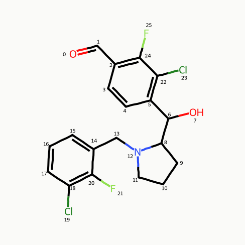 O=Cc1ccc(C(O)C2CCCN2Cc2cccc(Cl)c2F)c(Cl)c1F